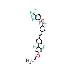 C=CCOc1cc(F)c(C2CCC(/C=C/C3CCC(C(F)(F)Oc4ccc(C(F)(F)F)c(F)c4)CC3)CC2)c(F)c1